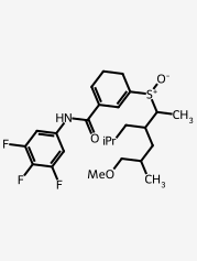 COCC(C)CC(CC(C)C)C(C)[S+]([O-])C1=CC(C(=O)Nc2cc(F)c(F)c(F)c2)=CCC1